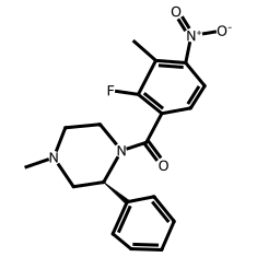 Cc1c([N+](=O)[O-])ccc(C(=O)N2CCN(C)C[C@@H]2c2ccccc2)c1F